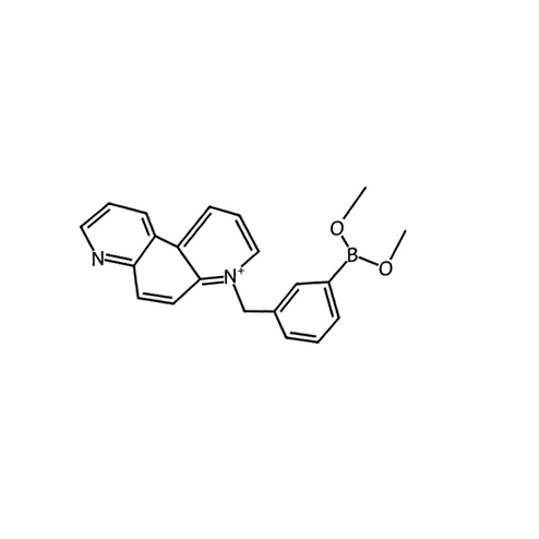 COB(OC)c1cccc(C[n+]2cccc3c4cccnc4ccc32)c1